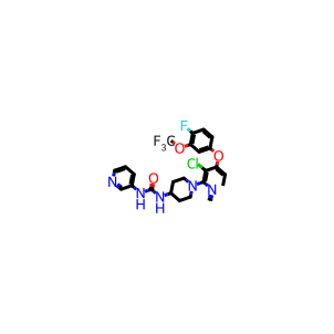 C=N/C(=C(Cl)\C(=C/C)Oc1ccc(F)c(OC(F)(F)F)c1)N1CCC(NC(=O)Nc2cccnc2)CC1